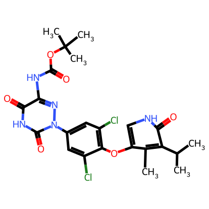 Cc1c(Oc2c(Cl)cc(-n3nc(NC(=O)OC(C)(C)C)c(=O)[nH]c3=O)cc2Cl)c[nH]c(=O)c1C(C)C